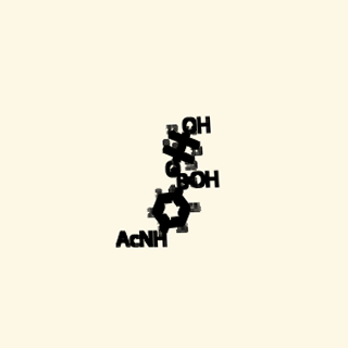 CC(=O)Nc1ccc(B(O)OC(C)(C)C(C)(C)O)cc1